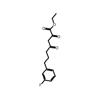 CCOC(=O)C(=O)CC(=O)CCCc1cccc(F)c1